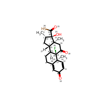 C[C@H]1C[C@H]2[C@@H]3CCC4=CC(=O)C=C[C@]4(C)[C@@]3(F)C(=O)C[C@]2(C)[C@@]1(O)C(=O)S